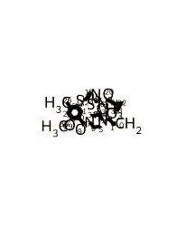 C=CC(=O)N1CCN(C(=O)c2cc(Sc3cnc(NC(=O)C4CC4)s3)c(C)cc2OC)C[C@H]1C